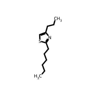 CCCCCCc1nc(CCC)cs1